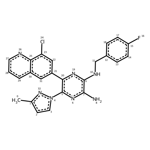 Cc1ccn(-c2nc(N)c(NCc3ccc(F)cc3)nc2-c2cc(Cl)c3ncccc3c2)n1